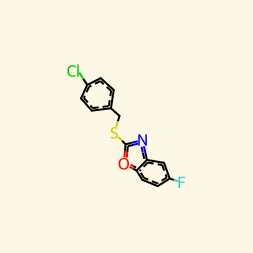 Fc1ccc2oc(SCc3ccc(Cl)cc3)nc2c1